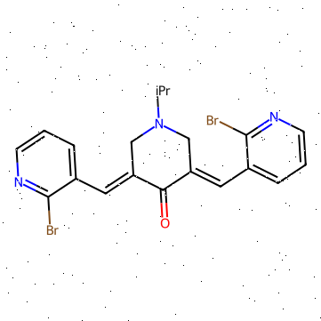 CC(C)N1C/C(=C\c2cccnc2Br)C(=O)/C(=C/c2cccnc2Br)C1